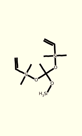 C=C[Si](C)(C)OC(C)(O[SiH3])O[Si](C)(C)C=C